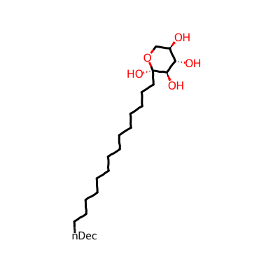 CCCCCCCCCCCCCCCCCCCCCCCC[C@@]1(O)OC[C@@H](O)[C@H](O)[C@H]1O